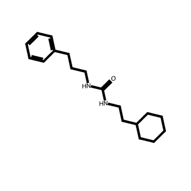 O=C(NCCCc1ccccc1)NCCC1CCCCC1